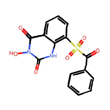 O=C(c1ccccc1)S(=O)(=O)c1cccc2c(=O)n(O)c(=O)[nH]c12